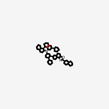 c1ccc(-c2cccc(N(c3ccc(-c4ccccc4)c(-c4ccc5c(ccc6oc(-c7ccc8ccccc8c7)nc65)c4)c3)c3ccc4ccccc4c3-c3ccccc3)c2)cc1